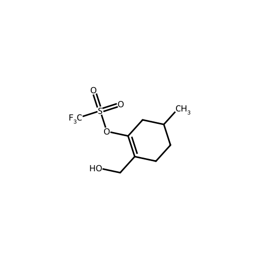 CC1CCC(CO)=C(OS(=O)(=O)C(F)(F)F)C1